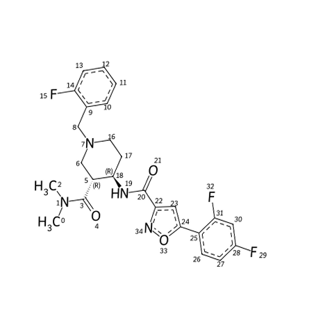 CN(C)C(=O)[C@@H]1CN(Cc2ccccc2F)CC[C@H]1NC(=O)c1cc(-c2ccc(F)cc2F)on1